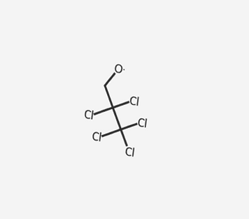 [O]CC(Cl)(Cl)C(Cl)(Cl)Cl